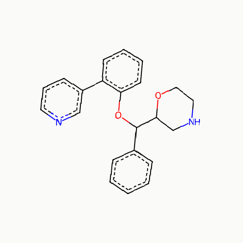 c1ccc(C(Oc2ccccc2-c2cccnc2)C2CNCCO2)cc1